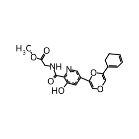 COC(=O)CNC(=O)c1ncc(C2=COC=C(C3=CC=CCC3)O2)cc1O